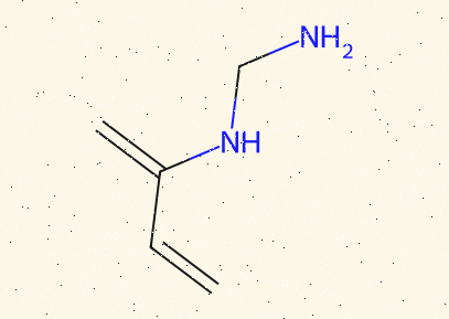 C=CC(=C)NCN